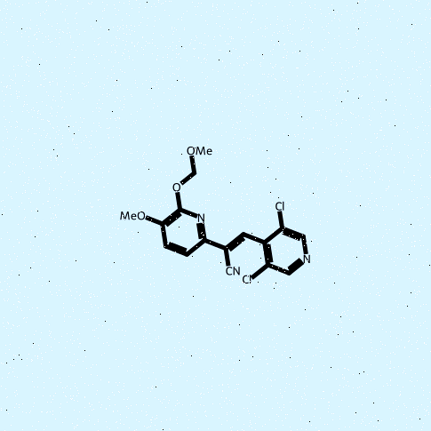 COCOc1nc(/C(C#N)=C/c2c(Cl)cncc2Cl)ccc1OC